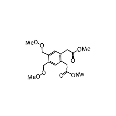 COOCc1cc(CC(=O)OC)c(CC(=O)OC)cc1COOC